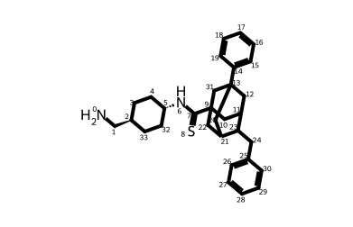 NC[C@H]1CC[C@H](NC(=S)C23CC4CC(c5ccccc5)(CC(C2)C4Cc2ccccc2)C3)CC1